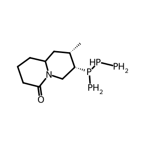 C[C@H]1CC2CCCC(=O)N2C[C@H]1P(P)PP